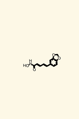 O=C(C=CC=Cc1ccc2c(c1)OCO2)NO